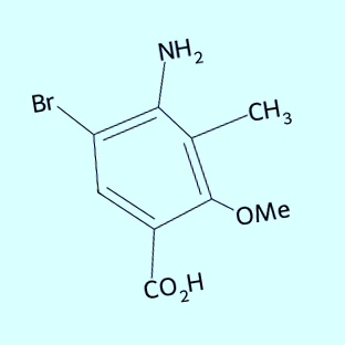 COc1c(C(=O)O)cc(Br)c(N)c1C